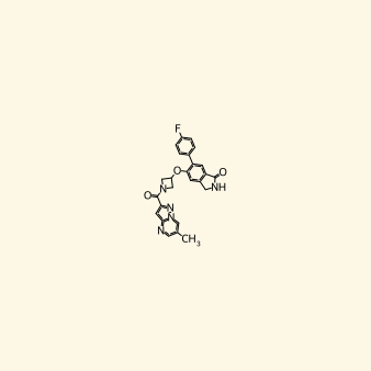 Cc1cnc2cc(C(=O)N3CC(Oc4cc5c(cc4-c4ccc(F)cc4)C(=O)NC5)C3)nn2c1